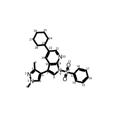 Cc1nn(C)cc1-c1cn(S(=O)(=O)c2ccccc2)c2ncc(C3CCCCC3)cc12